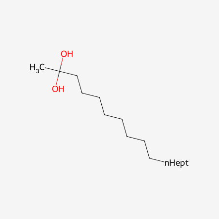 CCCCCCCCCCCCCCCC(C)(O)O